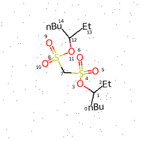 CCCCC(CC)OS(=O)(=O)CS(=O)(=O)OC(CC)CCCC